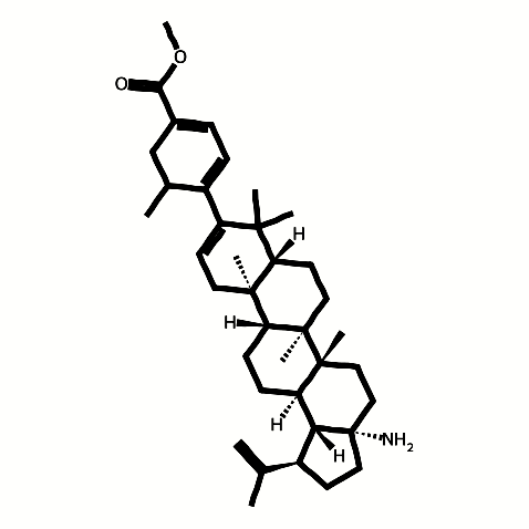 C=C(C)[C@@H]1CC[C@]2(N)CC[C@]3(C)[C@H](CC[C@@H]4[C@@]5(C)CC=C(C6=CC=C(C(=O)OC)CC6C)C(C)(C)[C@@H]5CC[C@]43C)[C@@H]12